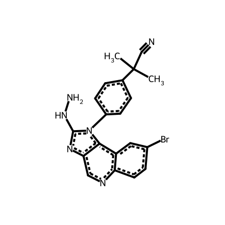 CC(C)(C#N)c1ccc(-n2c(NN)nc3cnc4ccc(Br)cc4c32)cc1